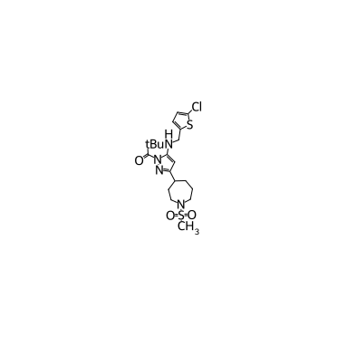 CC(C)(C)C(=O)n1nc(C2CCCN(S(C)(=O)=O)CC2)cc1NCc1ccc(Cl)s1